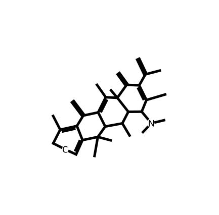 C=C(C)C1=C(C)C(N(C)C)C2C(C)C3C(=C(C)C2(C)C1=C)C(=C)C1=C(C)CCC=C1C3(C)C